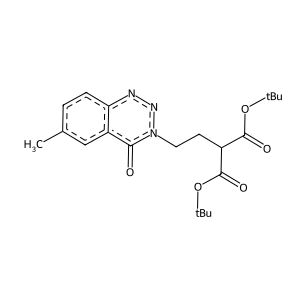 Cc1ccc2nnn(CCC(C(=O)OC(C)(C)C)C(=O)OC(C)(C)C)c(=O)c2c1